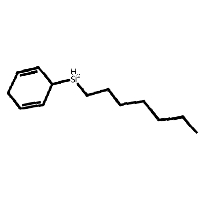 CCCCCCC[SiH2]C1C=CCC=C1